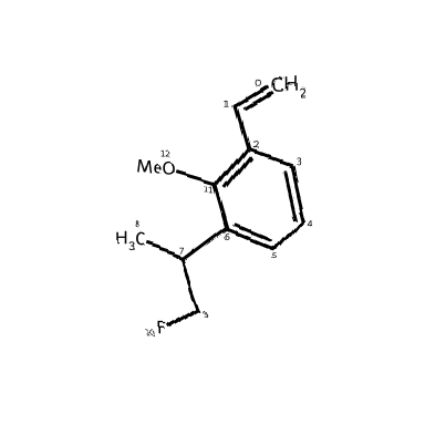 C=Cc1cccc([C](C)CF)c1OC